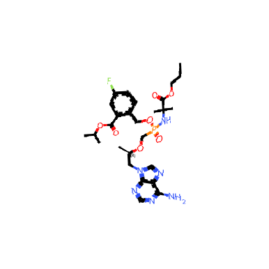 CCCOC(=O)C(C)(C)NP(=O)(CO[C@H](C)Cn1cnc2c(N)ncnc21)OCc1ccc(F)cc1C(=O)OC(C)C